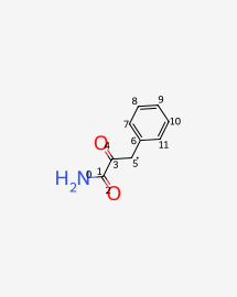 NC(=O)C(=O)[CH]c1ccccc1